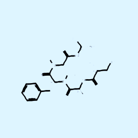 CCC(C)[C@H](NC(=O)CN(C)C(=O)[C@@H](Cc1ccccc1)N(C)C(=O)[C@H](C)NC(=O)[C@H](O)CC(C)C)C(C)=O